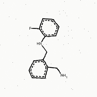 NCc1[c]cccc1CNc1ccccc1F